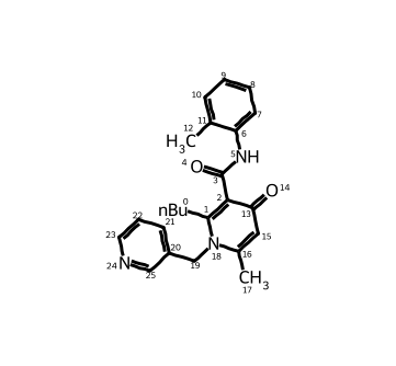 CCCCc1c(C(=O)Nc2ccccc2C)c(=O)cc(C)n1Cc1cccnc1